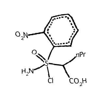 CCCC(C(=O)O)S(N)(=O)(Cl)c1ccccc1[N+](=O)[O-]